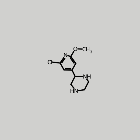 COc1cc(C2CNCCN2)cc(Cl)n1